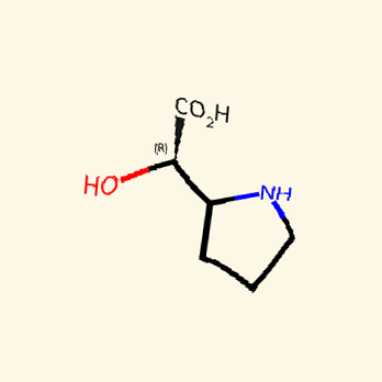 O=C(O)[C@H](O)C1CCCN1